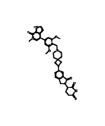 COc1cc(-c2cn(C)c(=O)c3[nH]ccc23)cc(OC)c1CN1CCC2(CC1)CN(c1ccc3c(c1)C(=O)N(C1CCC(=O)NC1=O)C3)C2